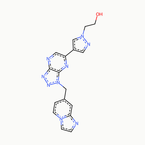 OCCn1cc(-c2cnc3nnn(Cc4ccn5ccnc5c4)c3n2)cn1